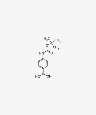 CC(C)(C)OC(=O)Nc1ccc(N(O)O)cc1